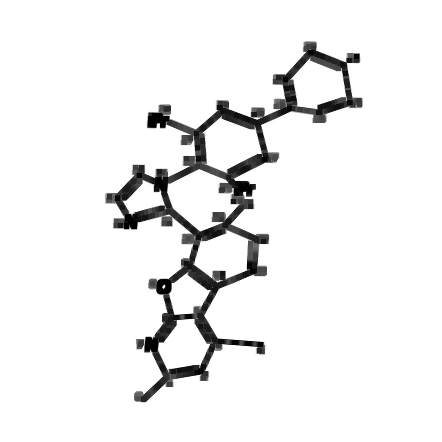 Cc1cc(C)c2c(n1)oc1c(-c3nccn3-c3c(C(C)C)cc(-c4ccccc4)cc3C(C)C)c(C)ccc12